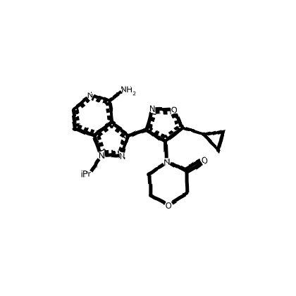 CC(C)n1nc(-c2noc(C3CC3)c2N2CCOCC2=O)c2c(N)nccc21